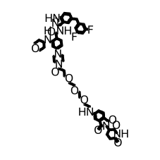 O=C1CCC(N2C(=O)c3ccc(NCCOCCOCCOCCC(=O)N4CCN(C5=CCC(C(=O)Nc6n[nH]c7ccc(Cc8cc(F)cc(F)c8)cc67)C(NC6CCOCC6)=C5)CC4)cc3C2=O)C(=O)N1